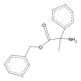 CC(N)(C(=O)OCc1ccccc1)c1ccccc1